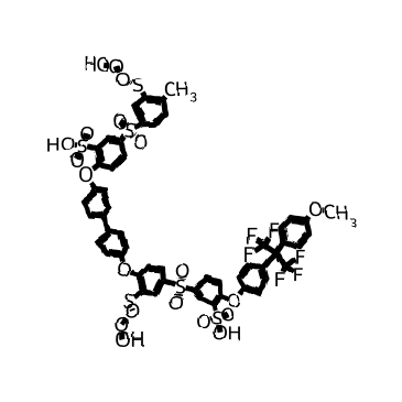 COc1ccc(C(c2ccc(Oc3ccc(S(=O)(=O)c4ccc(Oc5ccc(-c6ccc(Oc7ccc(S(=O)(=O)c8ccc(C)c(SOOO)c8)cc7S(=O)(=O)O)cc6)cc5)c(SOOO)c4)cc3S(=O)(=O)O)cc2)(C(F)(F)F)C(F)(F)F)cc1